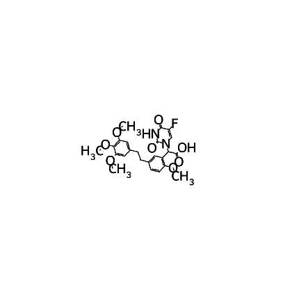 COc1ccc(CCc2cc(OC)c(OC)c(OC)c2)cc1C(C(=O)O)n1cc(F)c(=O)[nH]c1=O